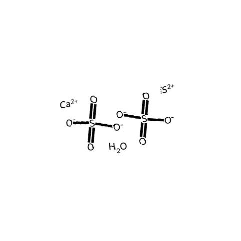 O.O=S(=O)([O-])[O-].O=S(=O)([O-])[O-].[Ca+2].[S+2]